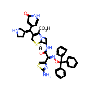 Nc1nc(C(=NOC(c2ccccc2)(c2ccccc2)c2ccccc2)C(=O)N[C@@H]2CN3C(C(=O)O)=C(C(=C4CCNC4)c4cc[nH]c(=O)c4)CS[C@H]23)cs1